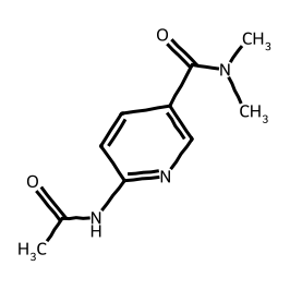 CC(=O)Nc1ccc(C(=O)N(C)C)cn1